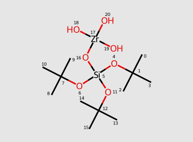 CC(C)(C)O[Si](OC(C)(C)C)(OC(C)(C)C)[O][Zr]([OH])([OH])[OH]